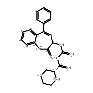 N=C(NC1N=C(c2ccccc2)c2ccccc2NC1=O)OC(=N)[C@H]1COCCN1